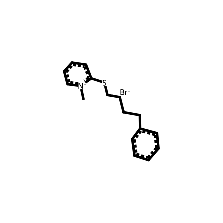 C[n+]1ccccc1SCCCCc1ccccc1.[Br-]